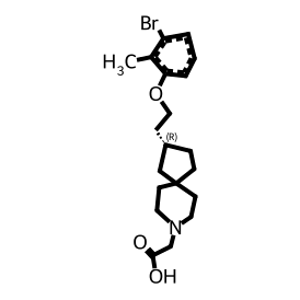 Cc1c(Br)cccc1OCC[C@@H]1CCC2(CCN(CC(=O)O)CC2)C1